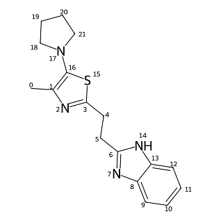 Cc1nc(CCc2nc3ccccc3[nH]2)sc1N1CCCC1